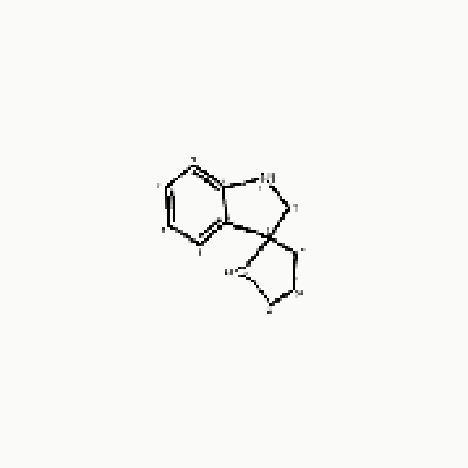 c1ccc2c(c1)NCC21CCCO1